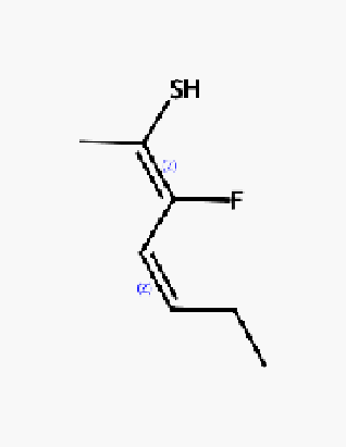 CC/C=C\C(F)=C(/C)S